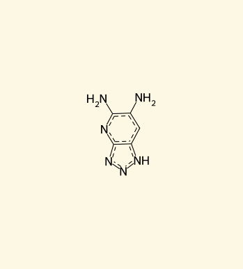 Nc1cc2[nH]nnc2nc1N